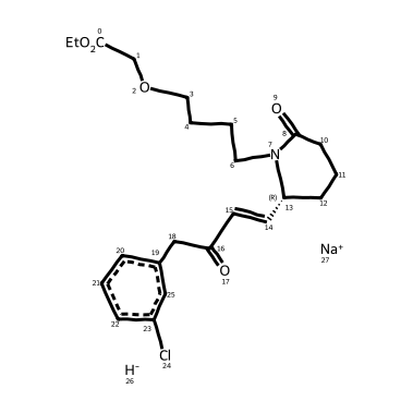 CCOC(=O)COCCCCN1C(=O)CCC[C@@H]1C=CC(=O)Cc1cccc(Cl)c1.[H-].[Na+]